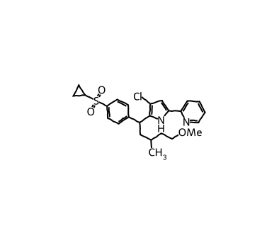 COCCC(C)CC(c1ccc(S(=O)(=O)C2CC2)cc1)c1[nH]c(-c2ccccn2)cc1Cl